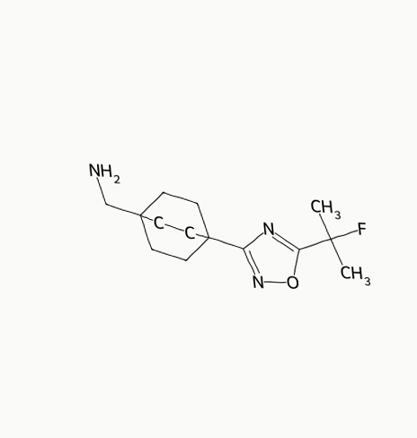 CC(C)(F)c1nc(C23CCC(CN)(CC2)CC3)no1